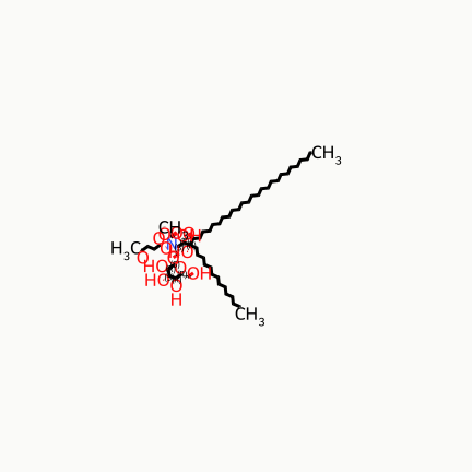 CCCCCCCCCCCCCCCCCCCCCCCCCC(=O)[C@@](O)(CCCCCCCCCCCCCC)[C@@H](O)[C@H](CO[C@H]1O[C@H](CO)[C@H](O)[C@H](O)[C@H]1O)N(OC(=O)CCC(C)=O)C(=O)OC